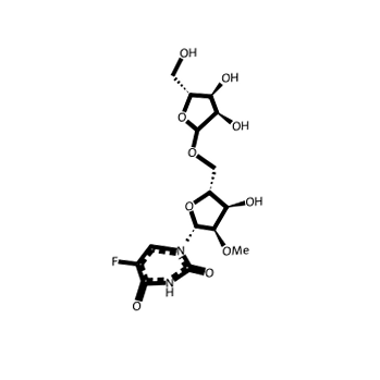 CO[C@@H]1[C@H](O)[C@@H](COC2O[C@H](CO)[C@@H](O)[C@H]2O)O[C@H]1n1cc(F)c(=O)[nH]c1=O